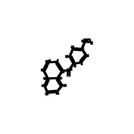 O=[N+]([O-])c1ccc(Nc2cncc3ccccc23)cc1